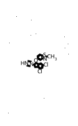 Cc1nc2cc(O[C@H]3c4cc(Cl)cc(Cl)c4C[C@@H]3N3CCNCC3)ccc2s1